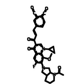 COc1c(N2CC3CCCN(C(C)=O)C3C2)c(F)cc2c(=O)c(C(=O)/C=C/c3ccc(=C=O)c(=C=O)c3)cn(C3CC3)c12